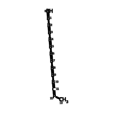 B=BB=BB=BB=BB=BB=C=PC